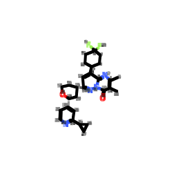 Cc1nc2c(C3CCC(F)(F)CC3)cc([C@H]3CCO[C@@H](c4ccnc(C5CC5)c4)C3)nn2c(=O)c1C